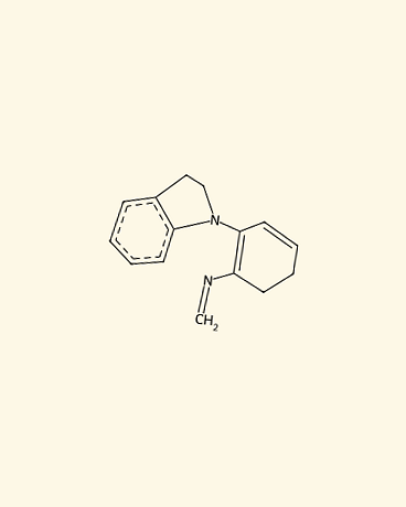 C=NC1=C(N2CCc3ccccc32)C=CCC1